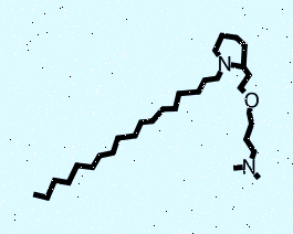 CCCCCCCCCCCCCCCCCCN1CCCCC1CCOCCCCN(C)C